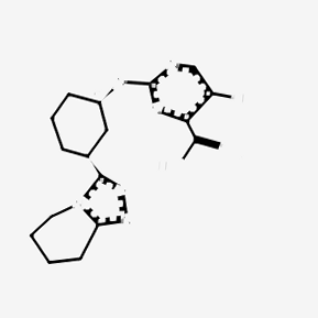 C=C(C)c1nc(N[C@@H]2CCC[C@H](c3nnc4n3CCCC4)C2)ncc1C(F)(F)F